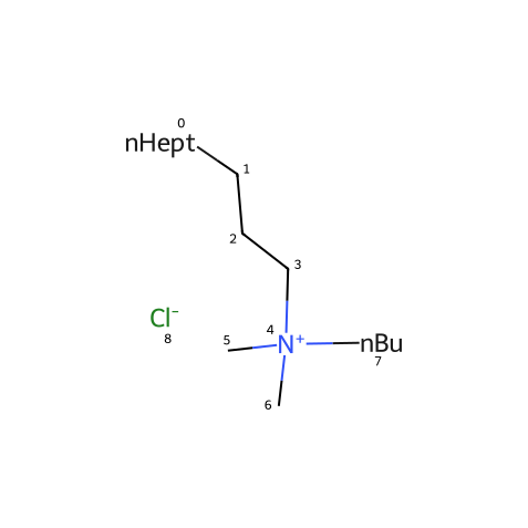 CCCCCCCCCC[N+](C)(C)CCCC.[Cl-]